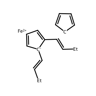 CCC=Cc1ccc[c-]1C=CCC.[Fe+2].c1cc[cH-]c1